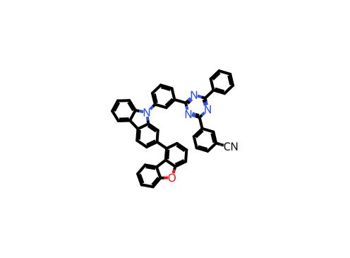 N#Cc1cccc(-c2nc(-c3ccccc3)nc(-c3cccc(-n4c5ccccc5c5ccc(-c6cccc7oc8ccccc8c67)cc54)c3)n2)c1